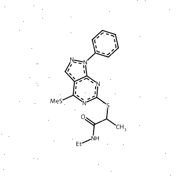 CCNC(=O)C(C)Sc1nc(SC)c2cnn(-c3ccccc3)c2n1